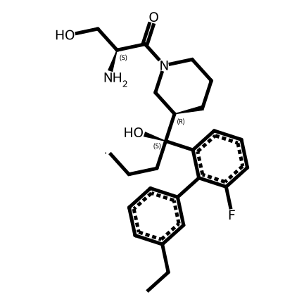 [CH2]CC[C@@](O)(c1cccc(F)c1-c1cccc(CC)c1)[C@@H]1CCCN(C(=O)[C@@H](N)CO)C1